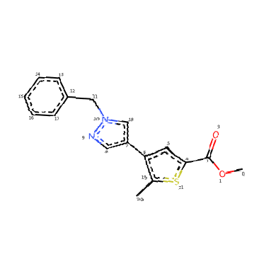 COC(=O)c1cc(-c2cnn(Cc3ccccc3)c2)c(C)s1